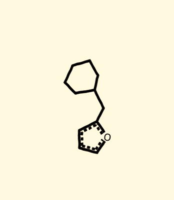 c1coc(CC2CCCCC2)c1